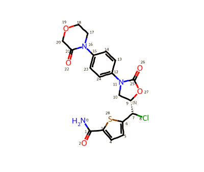 NC(=O)c1ccc(C(Cl)[C@@H]2CN(c3ccc(N4CCOCC4=O)cc3)C(=O)O2)s1